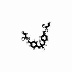 C=CC(=O)OCc1ccc(CC(C)(C)Cc2ccc(COC(=O)C=C)cc2)cc1